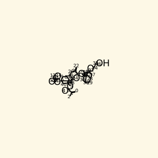 C=C(C)C(=O)OC12CC3CC(OS(C)(=O)=O)(CC(C1)C3CC(=C)C(=O)OC13CC4CC(CC(OCCO)(C4)C1)C3)C2